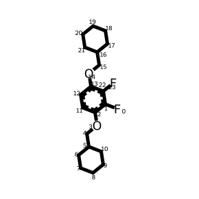 Fc1c(OCC2CCCCC2)ccc(OCC2CCCCC2)c1F